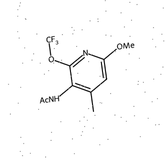 COc1cc(C)c(NC(C)=O)c(OC(F)(F)F)n1